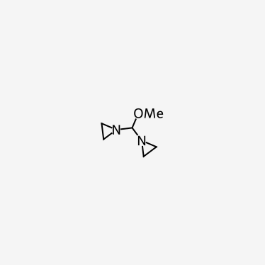 COC(N1CC1)N1CC1